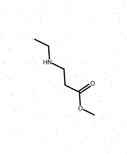 [CH2]CNCCC(=O)OC